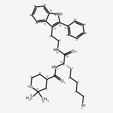 CC(=O)CCCCC[C@H](NC(=O)C1CCOC(C)(C)C1)C(=O)NCCc1c(-c2ccccc2)[nH]c2ccccc12